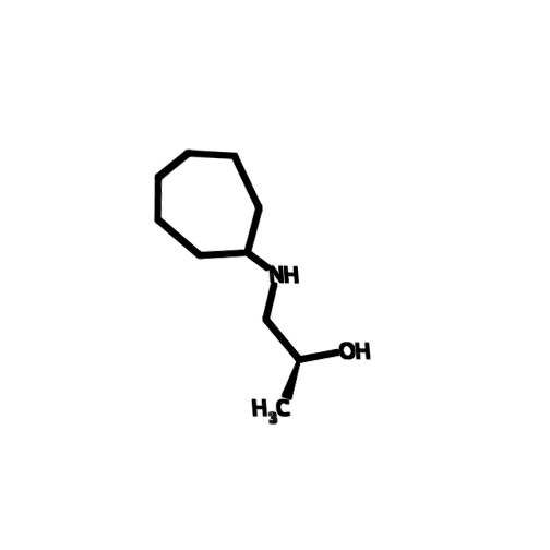 C[C@H](O)CNC1CCCCCC1